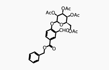 CC(=O)OC[C@H]1OC(Oc2ccc(C(=O)OCc3ccccc3)cc2C=O)[C@@H](OC(C)=O)[C@@H](OC(C)=O)[C@H]1OC(C)=O